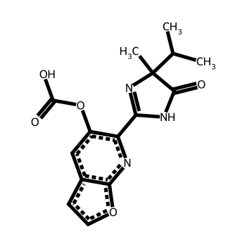 CC(C)C1(C)N=C(c2nc3occc3cc2OC(=O)O)NC1=O